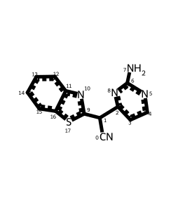 N#CC(c1ccnc(N)n1)c1nc2ccccc2s1